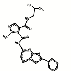 CC(C)CNC(=O)c1cnn(C)c1C(=O)Nc1ccn2cc(-c3ccccc3)nc2n1